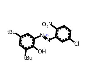 CC(C)(C)c1cc(/N=N/c2cc(Cl)ccc2[N+](=O)[O-])c(O)c(C(C)(C)C)c1